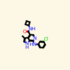 Cc1c[nH]c2c(Nc3cccc(Cl)c3)ncc(C(=O)NC3CCC3)c12